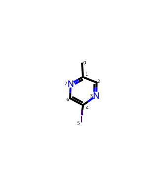 Cc1cnc(I)cn1